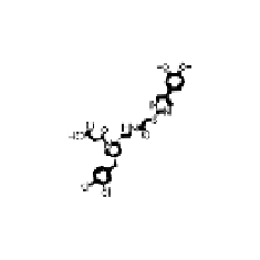 COc1ccc(-c2cnc(SCC(=O)NCC[C@@H]3C[C@@H](Cc4ccc(Cl)c(Cl)c4)CN3C(=O)CC(=O)O)nc2)cc1OC